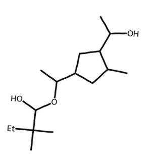 CCC(C)(C)C(O)OC(C)C1CC(C)C(C(C)O)C1